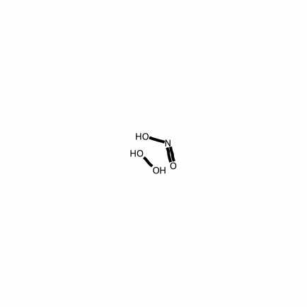 O=NO.OO